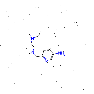 CCN(C)CCN(C)Cc1ccc(N)cn1